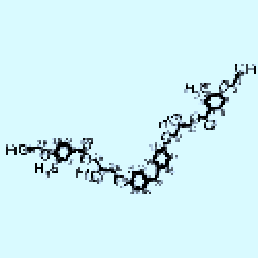 C#CCOc1ccc(C(=O)OCC(O)COc2ccc(Cc3ccc(OCC(O)COC(=O)c4ccc(OCC#C)c(C)c4)cc3)cc2)cc1C